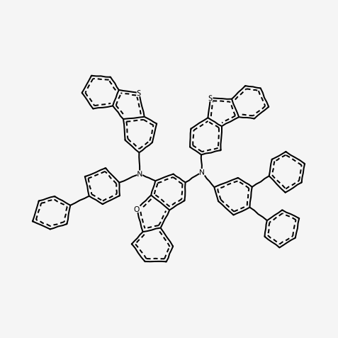 c1ccc(-c2ccc(N(c3ccc4sc5ccccc5c4c3)c3cc(N(c4ccc(-c5ccccc5)c(-c5ccccc5)c4)c4ccc5sc6ccccc6c5c4)cc4c3oc3ccccc34)cc2)cc1